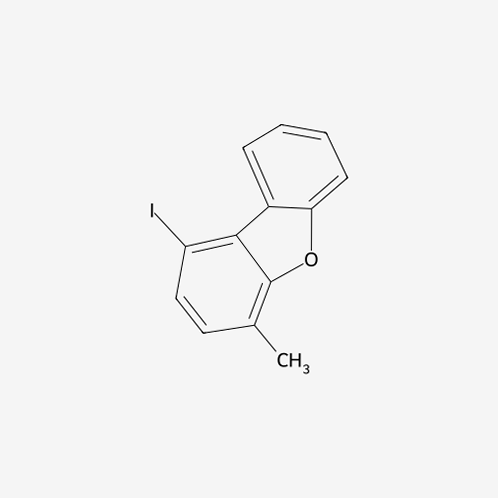 Cc1ccc(I)c2c1oc1ccccc12